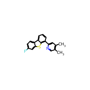 Cc1cnc(-c2cccc3c2sc2cc(F)ccc23)cc1C